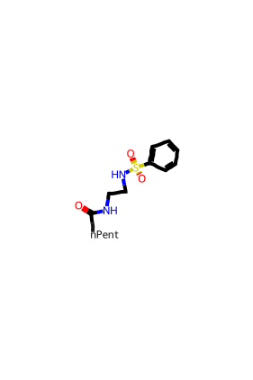 CCCCCC(=O)NCCNS(=O)(=O)c1ccccc1